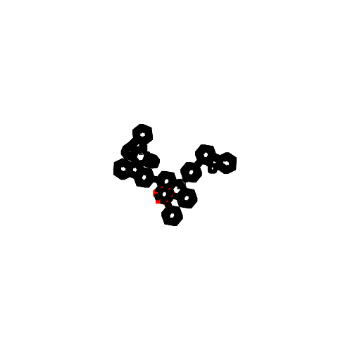 c1ccc(-c2ccccc2-c2ccccc2N(c2ccc(-c3cccc4c3oc3ccccc34)cc2)c2ccc(-c3ccc4c(c3)C3(c5ccccc5-4)c4ccccc4-n4c5ccccc5c5cccc3c54)c3ccccc23)cc1